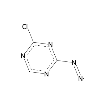 [N]=Nc1ncnc(Cl)n1